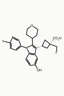 O=C(O)[C@]1(CF)C[C@H](c2c(C3CCOCC3)n(-c3ccc(F)cc3)c3ccc(O)cc32)C1